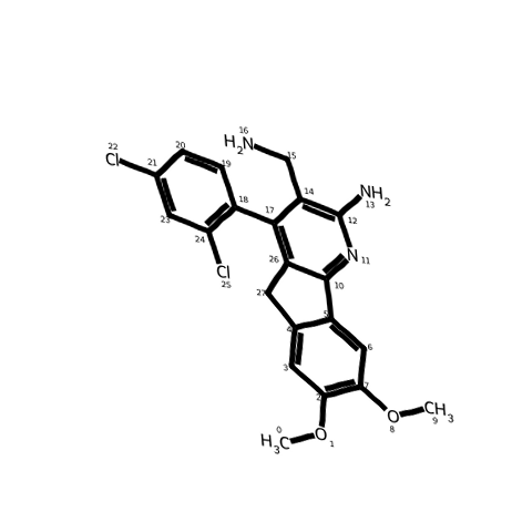 COc1cc2c(cc1OC)-c1nc(N)c(CN)c(-c3ccc(Cl)cc3Cl)c1C2